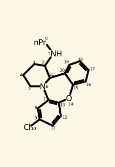 CCCNC1CCCN2c3cc(Cl)ccc3Oc3ccccc3C12